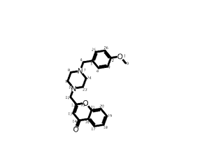 COc1ccc(CN2CCN(Cc3cc(=O)c4ccccc4o3)CC2)cc1